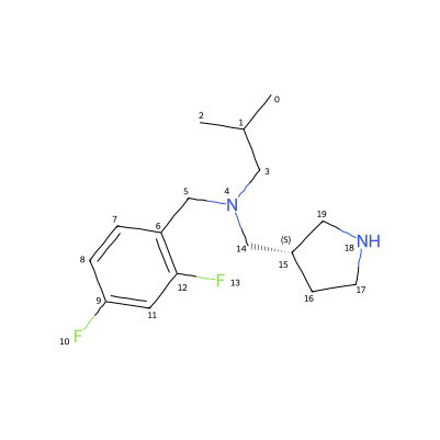 CC(C)CN(Cc1ccc(F)cc1F)C[C@H]1CCNC1